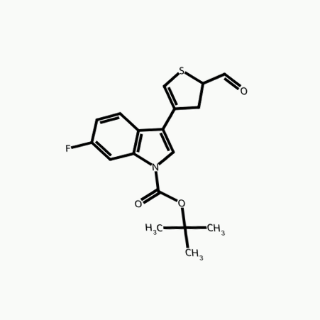 CC(C)(C)OC(=O)n1cc(C2=CSC(C=O)C2)c2ccc(F)cc21